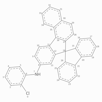 Clc1ccccc1Nc1ccc2c(c1)C1(c3ccccc3-c3ccccc31)c1ccc3ccccc3c1-2